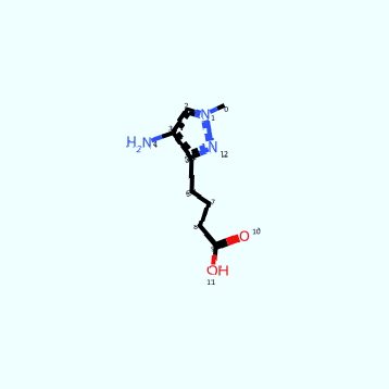 Cn1cc(N)c(CCCC(=O)O)n1